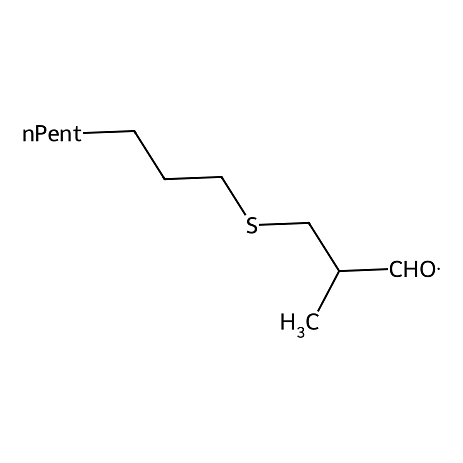 CCCCCCCCSCC(C)[C]=O